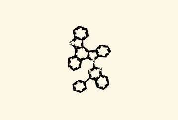 c1ccc(-c2nc(-n3c4ccccc4c4c5c6ccccc6sc5c5ccccc5c43)nc3ccccc23)cc1